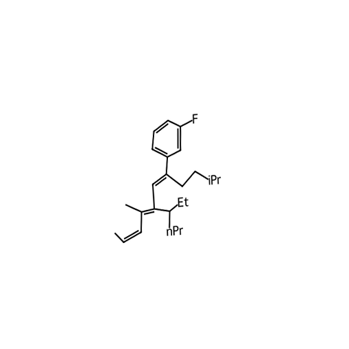 C\C=C/C(C)=C(/C=C(\CCC(C)C)c1cccc(F)c1)C(CC)CCC